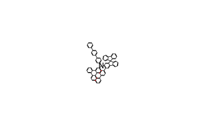 c1ccc(-c2ccc(-c3ccc(N(c4ccc5c6ccccc6c6ccccc6c5c4)c4cc5c(cc4-c4ccc(-c6ccccc6)cc4)-c4ccccc4C54c5ccccc5-c5ccccc54)cc3)cc2)cc1